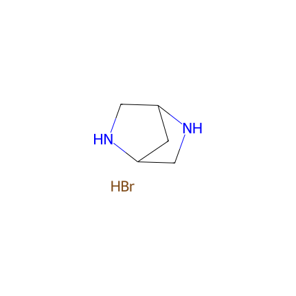 Br.C1NC2CNC1C2